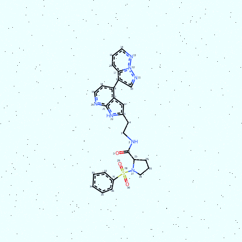 O=C(NCCc1cc2c(-c3cnn4ncccc34)ccnc2[nH]1)C1CCCN1S(=O)(=O)c1ccccc1